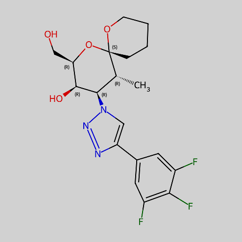 C[C@@H]1[C@@H](n2cc(-c3cc(F)c(F)c(F)c3)nn2)[C@@H](O)[C@@H](CO)O[C@@]12CCCCO2